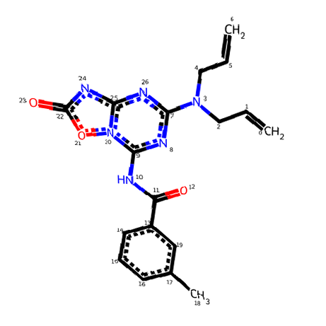 C=CCN(CC=C)c1nc(NC(=O)c2cccc(C)c2)n2oc(=O)nc2n1